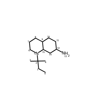 CCC(C)(C)N1CCCC2CCC(N)CC21